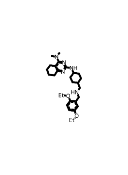 CCOc1ccc(OCC)c(CNCC2CCC(Nc3nc4c(c(N(C)C)n3)CCCC4)CC2)c1